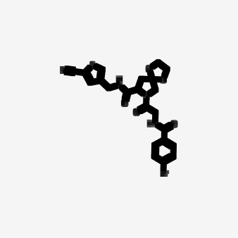 N#Cc1cc(CNC(=O)C2CC3(CN2C(=O)CNC(=O)c2ccc(Br)cc2)OCCO3)cs1